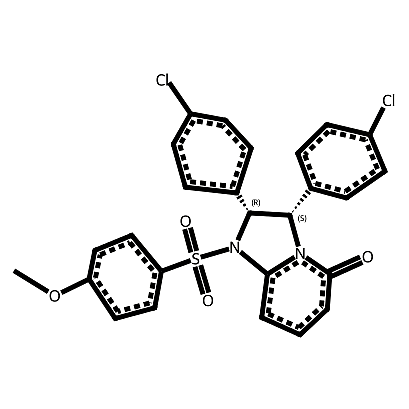 COc1ccc(S(=O)(=O)N2c3cccc(=O)n3[C@@H](c3ccc(Cl)cc3)[C@H]2c2ccc(Cl)cc2)cc1